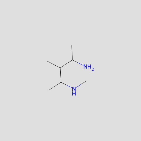 CNC(C)C(C)C(C)N